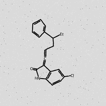 CCC(CC=C=C1C(=O)Nc2ccc(Cl)cc21)c1ccccc1